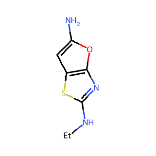 CCNc1nc2oc(N)cc2s1